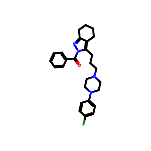 O=C(c1ccccc1)n1nc2c(c1CCCN1CCN(c3ccc(F)cc3)CC1)CCCC2